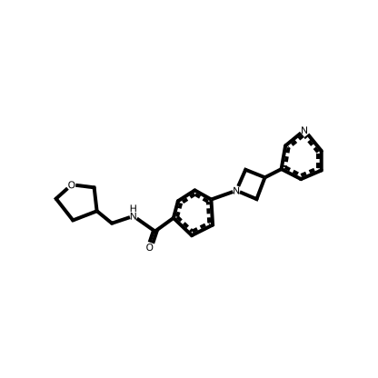 O=C(NCC1CCOC1)c1ccc(N2CC(c3cccnc3)C2)cc1